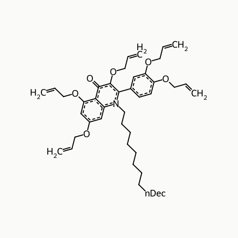 C=CCOc1cc(OCC=C)c2c(=O)c(OCC=C)c(-c3ccc(OCC=C)c(OCC=C)c3)n(CCCCCCCCCCCCCCCCCC)c2c1